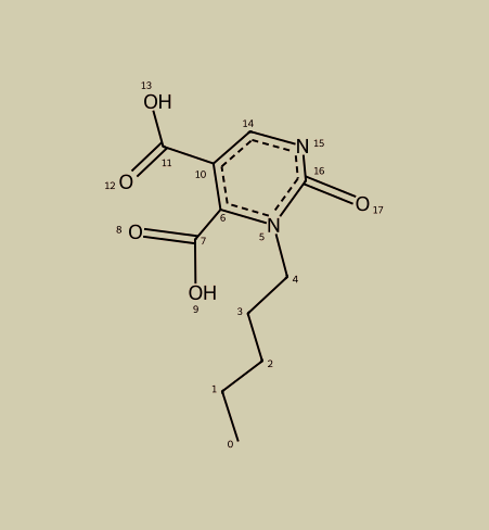 CCCCCn1c(C(=O)O)c(C(=O)O)cnc1=O